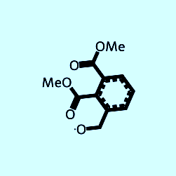 COC(=O)c1cccc(C[O])c1C(=O)OC